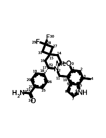 COc1cc(C)c2[nH]ccc2c1CN1CCC2(C[C@H]1c1ccc(C(N)=O)cc1)CC(F)(F)C2